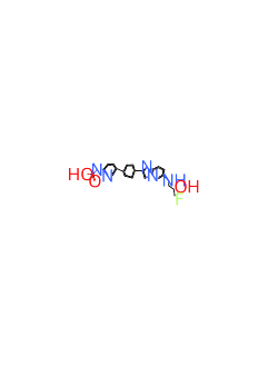 CN(C(=O)O)c1ccc(-c2ccc(-c3cn4cc(NCC(O)CF)ccc4n3)cc2)cn1